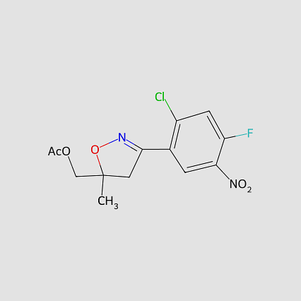 CC(=O)OCC1(C)CC(c2cc([N+](=O)[O-])c(F)cc2Cl)=NO1